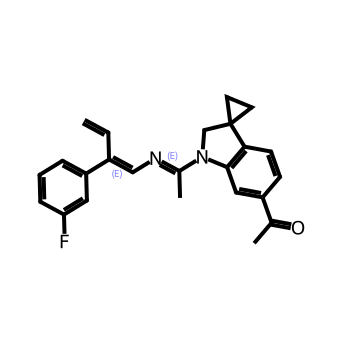 C=C/C(=C\N=C(/C)N1CC2(CC2)c2ccc(C(C)=O)cc21)c1cccc(F)c1